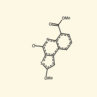 COC(=O)c1cccc2c1nc(Cl)c1sc(OC)cc12